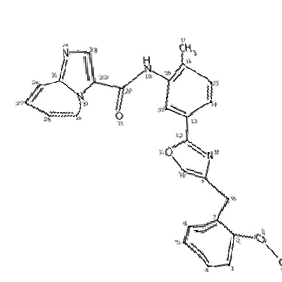 COc1ccccc1Cc1coc(-c2ccc(C)c(NC(=O)c3cnc4ccccn34)c2)n1